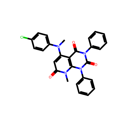 CN(c1ccc(Cl)cc1)c1cc(=O)n(C)c2c1c(=O)n(-c1ccccc1)c(=O)n2-c1ccccc1